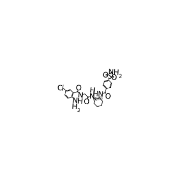 Nc1ccc(Cl)cc1C(=O)NCC(=O)N[C@@H]1CCCC[C@@H]1NC(=O)c1ccc(S(N)(=O)=O)cc1